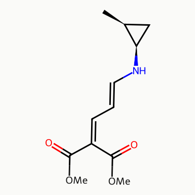 COC(=O)C(=C/C=C/N[C@@H]1C[C@@H]1C)C(=O)OC